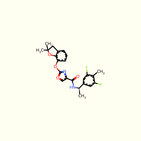 Cc1c(F)cc([C@@H](C)NC(=O)c2coc(Oc3cccc4c3OC(C)(C)C4)n2)cc1F